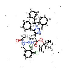 CC(=O)N(Cc1cccc(Cl)c1Cl)NCC(C(=O)OC(C)(C)C)c1cn(C(c2ccccc2)(c2ccccc2)c2ccccc2)cn1